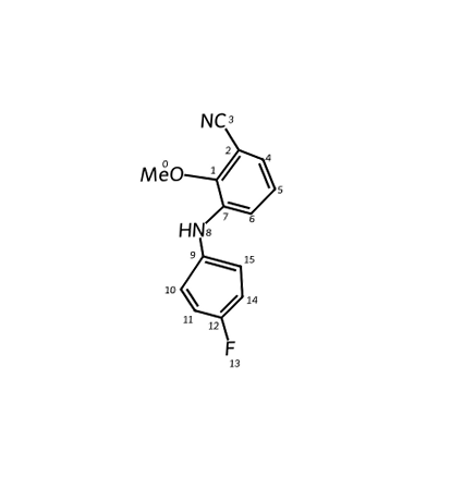 COc1c(C#N)cccc1Nc1ccc(F)cc1